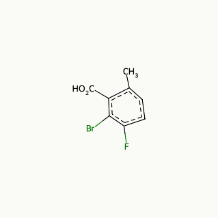 Cc1ccc(F)c(Br)c1C(=O)O